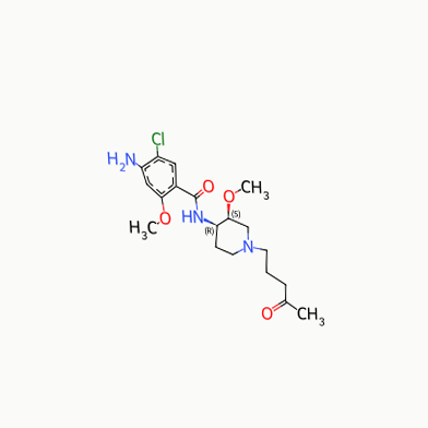 COc1cc(N)c(Cl)cc1C(=O)N[C@@H]1CCN(CCCC(C)=O)C[C@@H]1OC